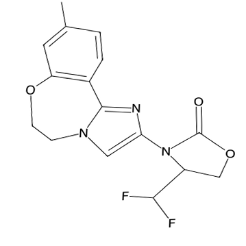 Cc1ccc2c(c1)OCCn1cc(N3C(=O)OCC3C(F)F)nc1-2